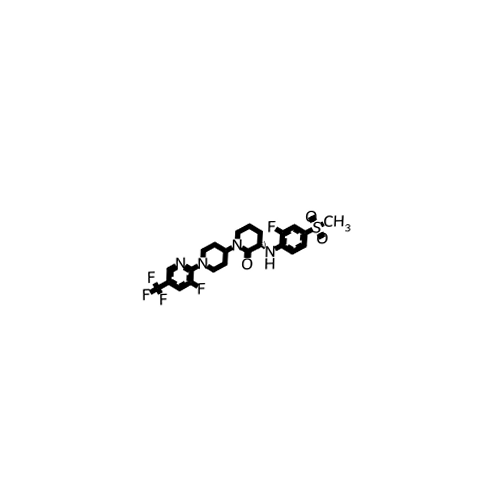 CS(=O)(=O)c1ccc(N[C@H]2CCCN(C3CCN(c4ncc(C(F)(F)F)cc4F)CC3)C2=O)c(F)c1